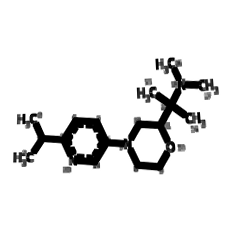 CC(C)c1ccc(N2CCOC(C(C)(C)N(C)C)C2)cn1